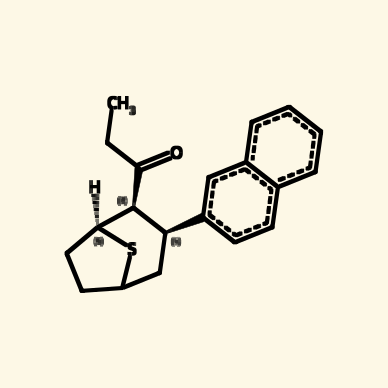 CCC(=O)[C@@H]1[C@@H]2CCC(C[C@@H]1c1ccc3ccccc3c1)S2